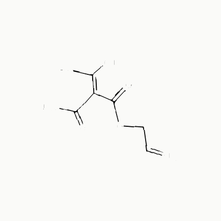 C=CCOC(=O)C(C(C)=O)=C(C)C